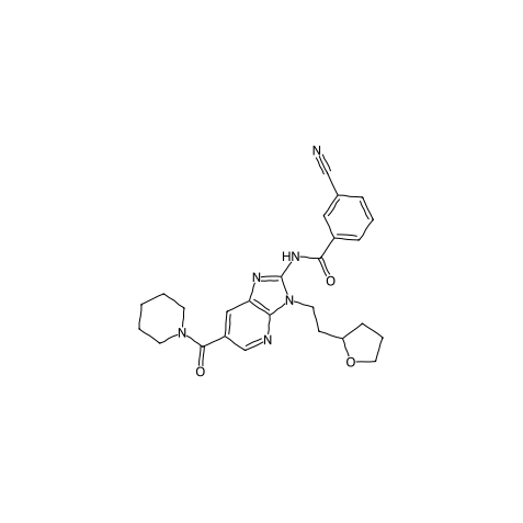 N#Cc1cccc(C(=O)Nc2nc3cc(C(=O)N4CCCCC4)cnc3n2CCC2CCCO2)c1